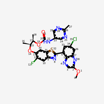 COc1cnc2c(-c3nc4cc(F)c(O[C@@H](C)[C@@H](C)OC(=O)Nc5cnc(C)nc5)cc4s3)cc(Cl)cc2n1